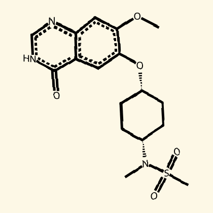 COc1cc2nc[nH]c(=O)c2cc1O[C@H]1CC[C@@H](N(C)S(C)(=O)=O)CC1